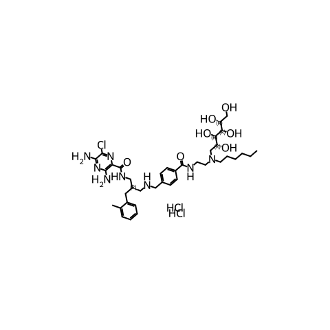 CCCCCCN(CCNC(=O)c1ccc(CNC[C@H](CNC(=O)c2nc(Cl)c(N)nc2N)Cc2ccccc2C)cc1)C[C@@H](O)[C@@H](O)[C@H](O)[C@H](O)CO.Cl.Cl